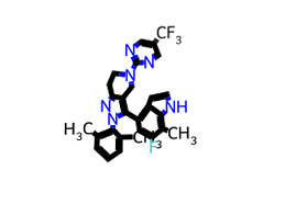 Cc1cccc(C)c1-n1nc2c(c1-c1cc(F)c(C)c3[nH]ccc13)CN(c1ncc(C(F)(F)F)cn1)CC2